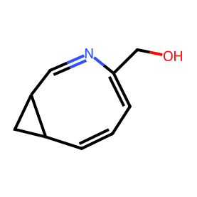 OCC1=C/C=C\C2CC2/C=N\1